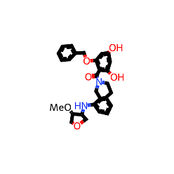 COC1COCC1Nc1cccc2c1CN(C(=O)c1c(O)cc(O)cc1OCc1ccccc1)CC2